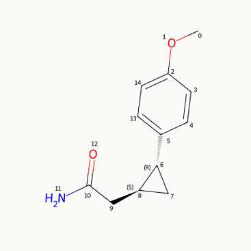 COc1ccc([C@@H]2C[C@H]2CC(N)=O)cc1